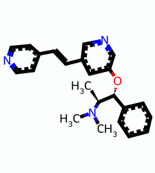 C[C@@H]([C@H](Oc1cncc(C=Cc2ccncc2)c1)c1ccccc1)N(C)C